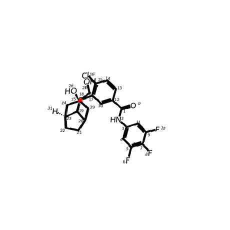 O=C(Nc1cc(F)c(F)c(F)c1)c1ccc(Cl)c(SC2C3CC[C@H]2C[C@](O)(CO)C3)c1